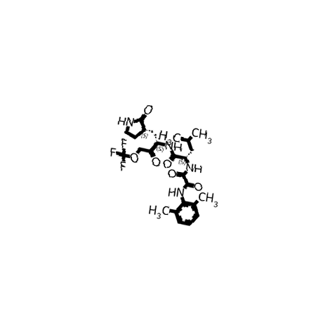 Cc1cccc(C)c1NC(=O)C(=O)N[C@@H](CC(C)C)C(=O)N[C@@H](C[C@@H]1CCNC1=O)C(=O)COC(F)(F)F